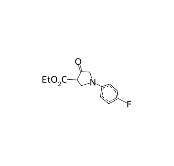 CCOC(=O)C1CN(c2ccc(F)cc2)CC1=O